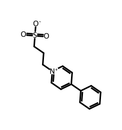 O=S(=O)([O-])CCC[n+]1ccc(-c2ccccc2)cc1